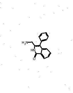 NCc1[nH]c(=O)c2ccccc2c1-c1ccccc1